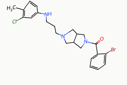 Cc1ccc(NCCCN2CC3CN(C(=O)c4ccccc4Br)CC3C2)cc1Cl